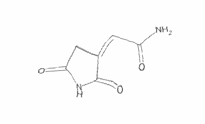 NC(=O)C=C1CC(=O)NC1=O